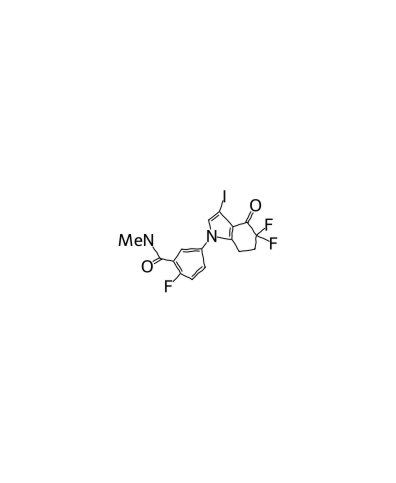 CNC(=O)c1cc(-n2cc(I)c3c2CCC(F)(F)C3=O)ccc1F